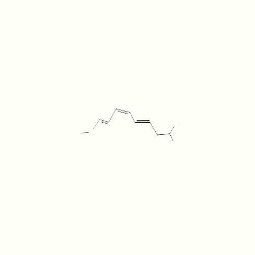 CO/C=C/C=C\C=C\CC(C)C